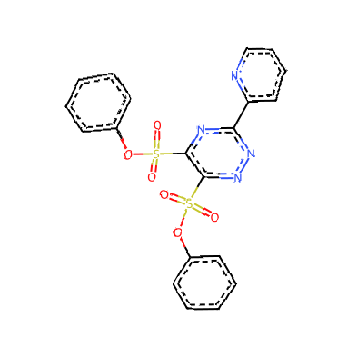 O=S(=O)(Oc1ccccc1)c1nnc(-c2ccccn2)nc1S(=O)(=O)Oc1ccccc1